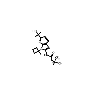 CC(C)(O)c1ccc2nc(NC(=O)C[C@@](C)(O)C(F)(F)F)n(C3(C)CCC3)c2n1